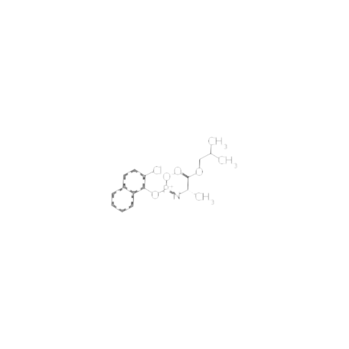 CC(C)COC(=O)[C@H](C)/N=[P+](\[O-])Oc1c(Cl)ccc2ccccc12